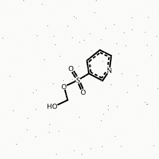 O=S(=O)(OCO)c1cccnc1